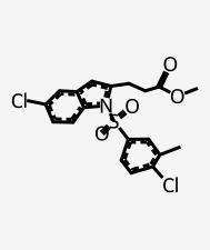 COC(=O)CCc1cc2cc(Cl)ccc2n1S(=O)(=O)c1ccc(Cl)c(C)c1